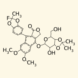 COc1cc2c(OC3OC(CO)C4OC(C)(C)OC4C3O)c3c(c(-c4ccc5c(c4)OC(C)(F)O5)c2cc1OC)C(=O)OC3